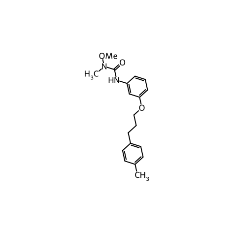 CON(C)C(=O)Nc1cccc(OCCCc2ccc(C)cc2)c1